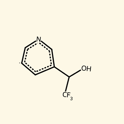 OC(c1c[c]cnc1)C(F)(F)F